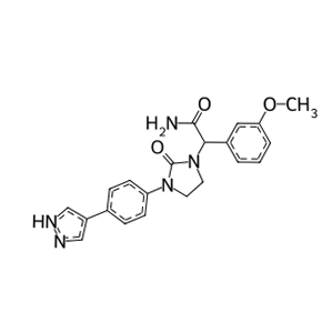 COc1cccc(C(C(N)=O)N2CCN(c3ccc(-c4cn[nH]c4)cc3)C2=O)c1